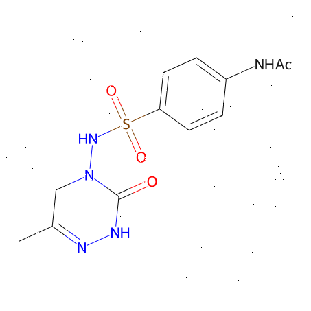 CC(=O)Nc1ccc(S(=O)(=O)NN2CC(C)=NNC2=O)cc1